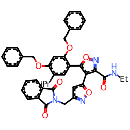 CCNC(=O)c1noc(-c2cc(C(C)C)c(OCc3ccccc3)cc2OCc2ccccc2)c1-c1cc(CN2C(=O)c3ccccc3C2=O)no1